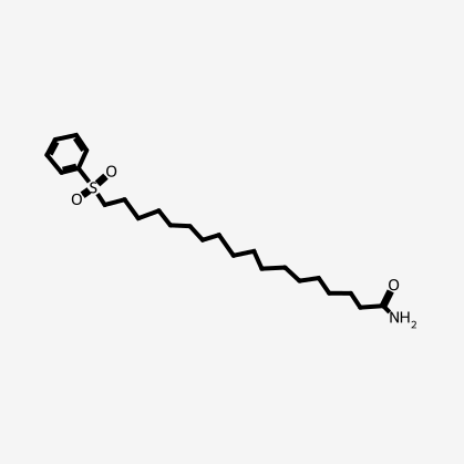 NC(=O)CCCCCCCCCCCCCCCCCS(=O)(=O)c1ccccc1